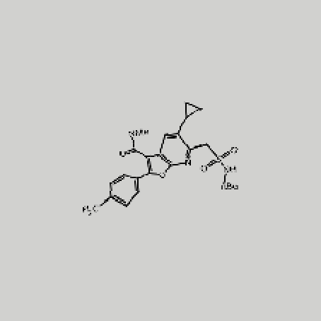 [CH2]CCCNS(=O)(=O)Cc1nc2oc(-c3ccc(C)cc3)c(C(=O)NC)c2cc1C1CC1